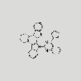 C1=CC2C3=C(C4Sc5ccccc5C4C4=C3CCCC4)N(c3nc(C4CC=CC4)c4ccccc4n3)C2C=C1